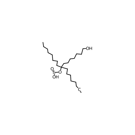 CCCCCCCCC(CCCCCCCC)(CCCCCCCO)[O][Ti](=[O])[OH]